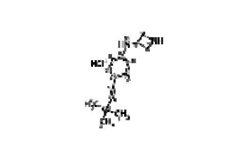 C[Si](C)(C)C#Cc1ccc(NC2CNC2)cn1.Cl